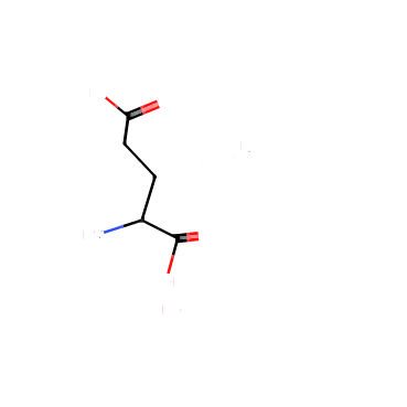 NC(CCC(=O)O)C(=O)O.O.O.O.O.O.O